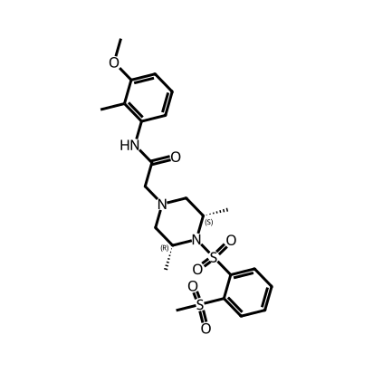 COc1cccc(NC(=O)CN2C[C@@H](C)N(S(=O)(=O)c3ccccc3S(C)(=O)=O)[C@@H](C)C2)c1C